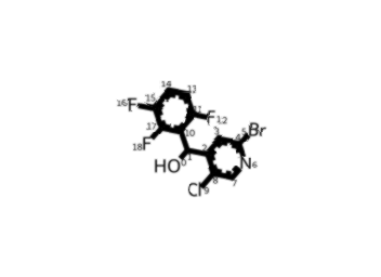 OC(c1cc(Br)ncc1Cl)c1c(F)ccc(F)c1F